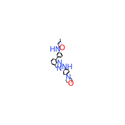 C/C=C/C(=O)Nc1cccc(-c2cccc3cnc(Nc4ccc(N5CCOCC5)cc4)nc23)c1